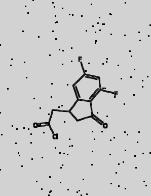 O=C(Cl)CC1CC(=O)c2c(F)cc(F)cc21